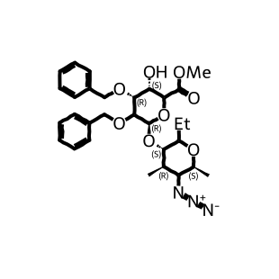 CCC1O[C@@H](C)C(N=[N+]=[N-])[C@@H](C)[C@@H]1O[C@@H]1OC(C(=O)OC)[C@@H](O)[C@@H](OCc2ccccc2)C1OCc1ccccc1